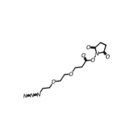 [N-]=[N+]=NCCOCCOCCC(=O)ON1C(=O)CCC1=O